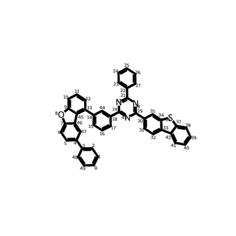 c1ccc(-c2ccc3oc4cccc(-c5cccc(-c6nc(-c7ccccc7)nc(-c7ccc8c(c7)sc7ccccc78)n6)c5)c4c3c2)cc1